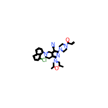 C=CC(=O)N1CCN(c2nc(N3CC(C)OC(C)C3)c3c(c2C#N)CN(c2cccc4cccc(Cl)c24)CC3)CC1